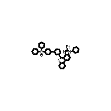 CCc1nc2c3c(-c4cccc(-c5ccc(P(=O)(c6ccccc6)c6ccccc6)cc5)c4)nc4ccccc4c3ccc2n1-c1ccccc1